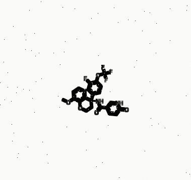 COc1ccnc2c1OCC[C@]2(NC(=O)c1ccc(=O)[nH]c1)c1ccc(OC(F)(F)F)c(F)c1